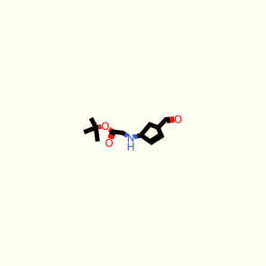 CC(C)(C)OC(=O)CNC1C=CC(C=O)C1